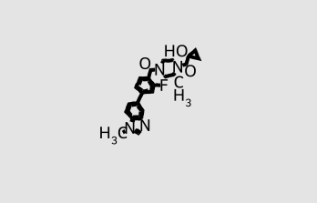 CC1CN(C(=O)c2ccc(-c3ccc4c(c3)ncn4C)cc2F)CCN1C(=O)C1(O)CC1